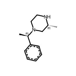 C[C@@H]1CN([C@H](C)c2ccccc2)CCN1